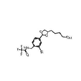 O=C(NCc1ccc(C2OCC(CCCCO)O2)cc1F)C(F)(F)F